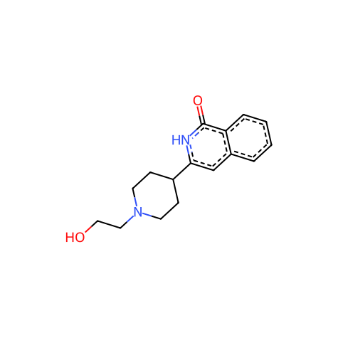 O=c1[nH]c(C2CCN(CCO)CC2)cc2ccccc12